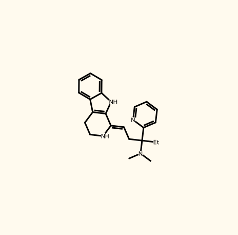 CCC(CC=C1NCCc2c1[nH]c1ccccc21)(c1ccccn1)N(C)C